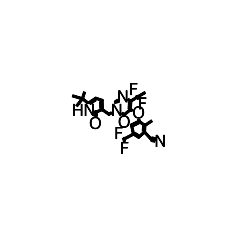 Cc1c(C#N)cc(C(F)F)cc1Oc1c(C(C)(F)F)ncn(Cc2ccc(C(C)(C)C)[nH]c2=O)c1=O